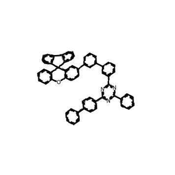 c1ccc(-c2ccc(-c3nc(-c4ccccc4)nc(-c4cccc(-c5cccc(-c6ccc7c(c6)C6(c8ccccc8O7)c7ccccc7-c7ccccc76)c5)c4)n3)cc2)cc1